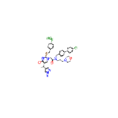 CC(c1cn[nH]c1)c1cn(CC(=O)N(CCCN2CCOCC2)Cc2ccc(-c3ccc(Cl)cc3)cc2)c(SCc2ccc(F)cc2)nc1=O.Cl